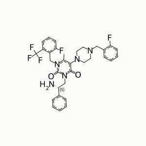 Cc1c(N2CCN(Cc3ccccc3F)CC2)c(=O)n(C[C@@H](N)c2ccccc2)c(=O)n1Cc1c(F)cccc1C(F)(F)F